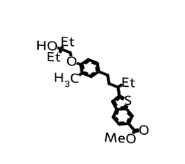 CCC(CCc1ccc(OCC(O)(CC)CC)c(C)c1)c1cc2ccc(C(=O)OC)cc2s1